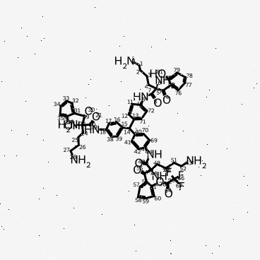 NCCCC[C@@](N)(C(=O)Nc1ccc(C(c2ccc(NC(=O)[C@](N)(CCCCN)C(=O)c3ccccc3O)cc2)c2ccc(NC(=O)[C@](N)(CCCCN)C(=O)c3ccccc3OC(=O)C(F)(F)F)cc2)cc1)C(=O)c1ccccc1O